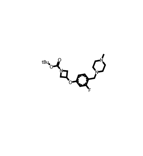 CN1CCN(Cc2ccc(OC3CN(C(=O)OC(C)(C)C)C3)cc2F)CC1